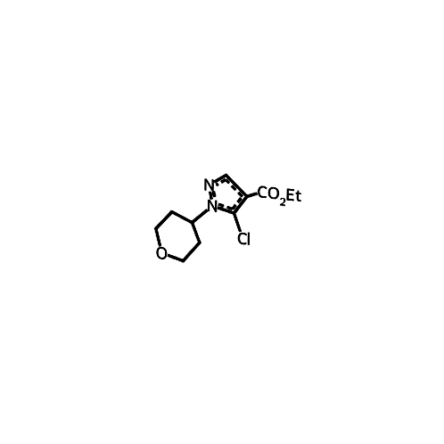 CCOC(=O)c1cnn(C2CCOCC2)c1Cl